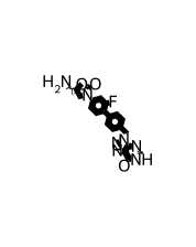 NC[C@H]1CN(c2ccc(-c3ccc(Cn4nnc5c(=O)[nH]cnc54)cc3)c(F)c2)C(=O)O1